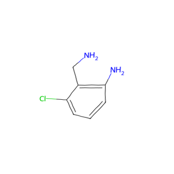 NCc1c(N)cccc1Cl